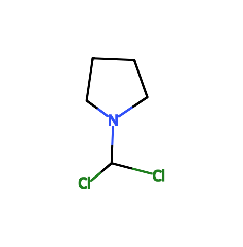 ClC(Cl)N1CCCC1